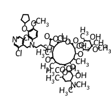 COc1ccc(N(CCS[C@@H]2C(=O)O[C@@]3(C)[C@H]2[C@@H](C)C(=O)[C@H](C)C[C@@](C)(OC)[C@H](O[C@@H]2O[C@H](C)C[C@H](N(C)C)[C@H]2O)C(C)[C@H](O[C@H]2C[C@@](C)(OC)[C@@H](O)[C@H](C)O2)[C@@H](C)C(=O)O[C@@H]3I)Cc2c(Cl)cncc2Cl)cc1OC1CCCC1